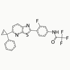 O=C(Nc1ccc(-c2nc3ccc(C4(c5ccccc5)C=C4)nc3s2)c(F)c1)C(F)(F)F